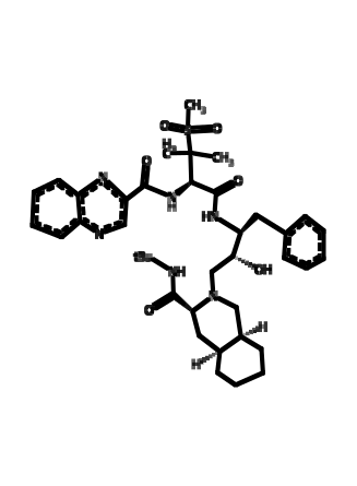 CC(C)(C)NC(=O)[C@@H]1C[C@@H]2CCCC[C@@H]2CN1C[C@@H](O)[C@H](Cc1ccccc1)NC(=O)[C@@H](NC(=O)c1cnc2ccccc2n1)C(C)(C)S(C)(=O)=O